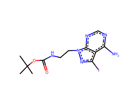 CC(C)(C)OC(=O)NCCn1nc(I)c2c(N)ncnc21